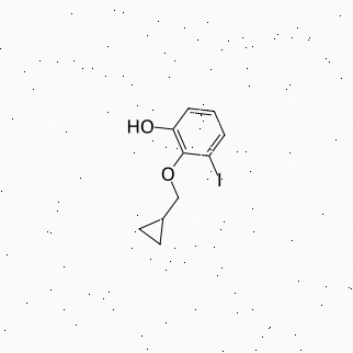 Oc1cccc(I)c1OCC1CC1